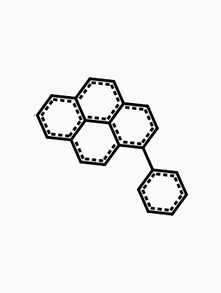 [c]1cc2ccc3ccc(-c4ccccc4)c4ccc(c1)c2c34